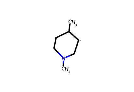 CC1[CH]CN(C)CC1